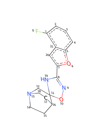 Fc1cccc2oc(C3=NOC4(CN5CCC4CC5)N3)cc12